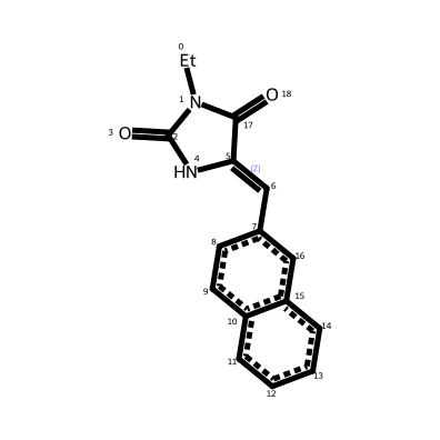 CCN1C(=O)N/C(=C\c2ccc3ccccc3c2)C1=O